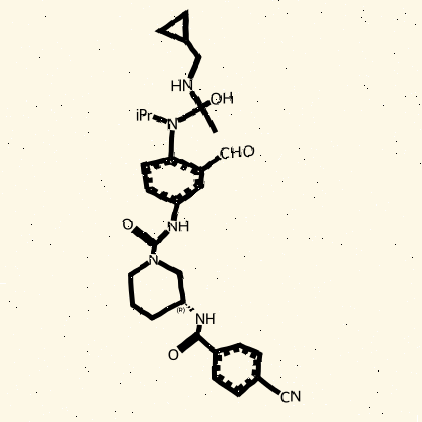 CC(C)N(c1ccc(NC(=O)N2CCC[C@@H](NC(=O)c3ccc(C#N)cc3)C2)cc1C=O)C(C)(O)NCC1CC1